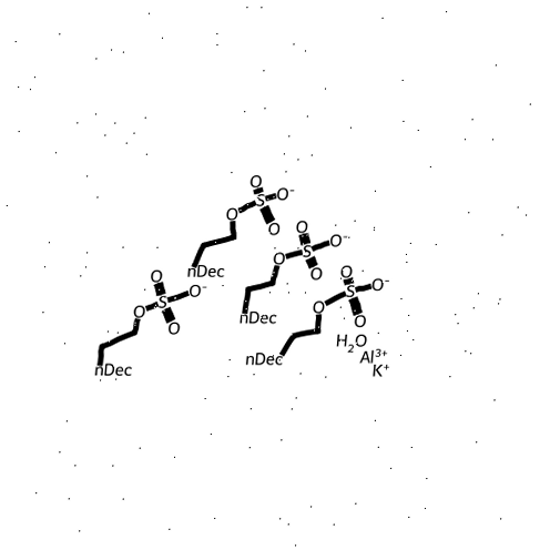 CCCCCCCCCCCCOS(=O)(=O)[O-].CCCCCCCCCCCCOS(=O)(=O)[O-].CCCCCCCCCCCCOS(=O)(=O)[O-].CCCCCCCCCCCCOS(=O)(=O)[O-].O.[Al+3].[K+]